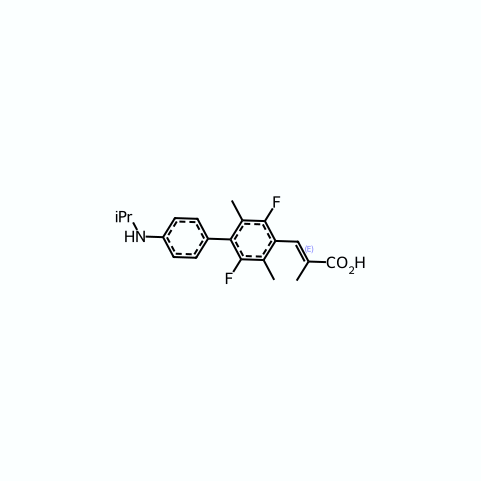 C/C(=C\c1c(C)c(F)c(-c2ccc(NC(C)C)cc2)c(C)c1F)C(=O)O